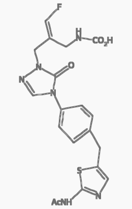 CC(=O)Nc1ncc(Cc2ccc(-n3cnn(CC(=CF)CNC(=O)O)c3=O)cc2)s1